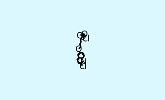 O=S(=O)(Cl)CCCCOc1ccc2nc(Cl)ccc2c1